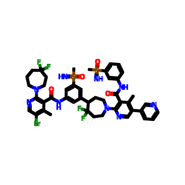 Cc1c(Br)cnc(N2CCCC(F)(F)CC2)c1C(=O)Nc1cc(C2CCN(c3ncc(-c4cccnc4)c(C)c3C(=O)Nc3cccc(S(C)(=N)=O)c3)CCC2(F)F)cc(S(C)(=N)=O)c1